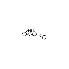 c1ccc(COc2ccc(C3NCc4ccccc4N3)cc2)cc1